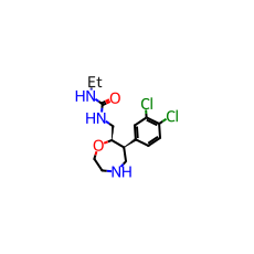 CCNC(=O)NC[C@@H]1OCCNC[C@@H]1c1ccc(Cl)c(Cl)c1